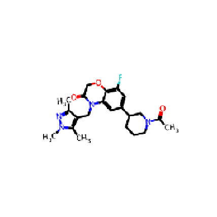 CC(=O)N1CCCC(c2cc(F)c3c(c2)N(Cc2c(C)nn(C)c2C)C(=O)CO3)C1